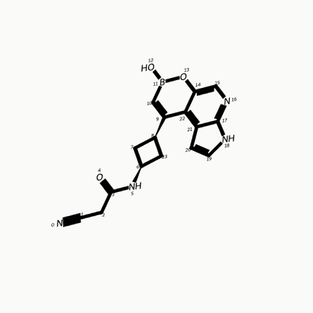 N#CCC(=O)N[C@H]1C[C@@H](C2=CB(O)Oc3cnc4[nH]ccc4c32)C1